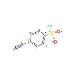 N#Cc1ccc(S(=O)(=O)F)cc1